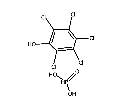 O=[PH](O)O.Oc1c(Cl)c(Cl)c(Cl)c(Cl)c1Cl